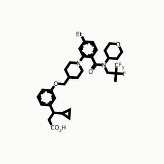 CCc1ccc(C(=O)N(CC(C)(F)C(F)(F)F)C2CCOCC2)c(N2CCC(COc3cccc(C(CC(=O)O)C4CC4)c3)CC2)c1